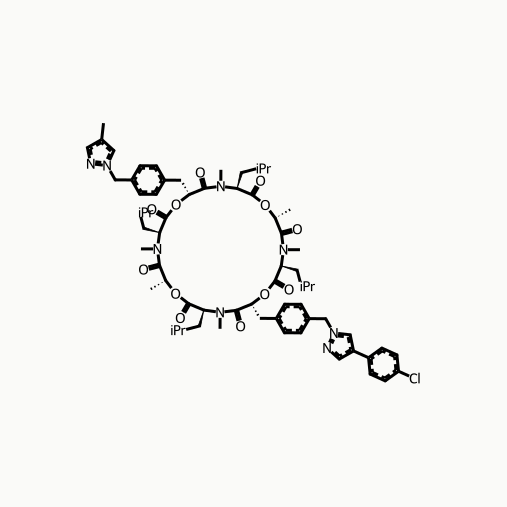 Cc1cnn(Cc2ccc(C[C@H]3OC(=O)[C@H](CC(C)C)N(C)C(=O)[C@@H](C)OC(=O)[C@H](CC(C)C)N(C)C(=O)[C@@H](Cc4ccc(Cn5cc(-c6ccc(Cl)cc6)cn5)cc4)OC(=O)[C@H](CC(C)C)N(C)C(=O)[C@@H](C)OC(=O)[C@H](CC(C)C)N(C)C3=O)cc2)c1